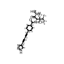 CC(C)(C(F)F)[C@H](NC(=O)c1ccc(C#CC#Cc2c[nH]nn2)cc1)C(=O)NO